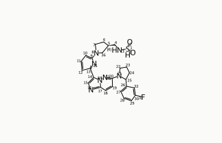 O=[SH](=O)NC[C@@H]1CCN(c2cccc(-c3cnc4ccc(N5CCCC5c5cccc(F)c5)nn34)n2)C1